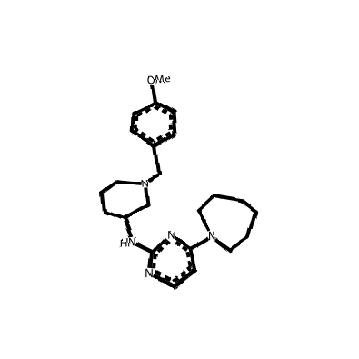 COc1ccc(CN2CCCC(Nc3nccc(N4CCCCCC4)n3)C2)cc1